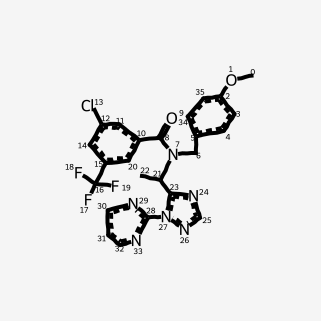 COc1ccc(CN(C(=O)c2cc(Cl)cc(C(F)(F)F)c2)C(C)c2ncnn2-c2ncccn2)cc1